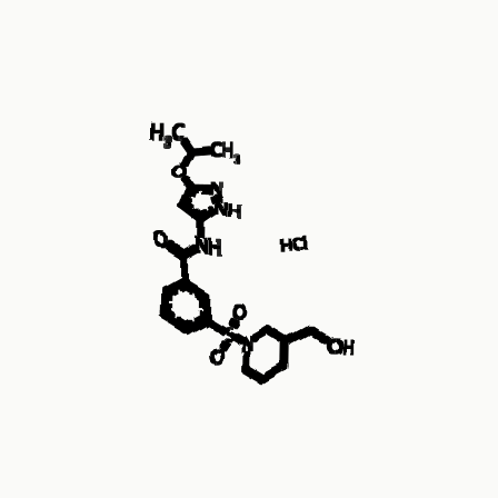 CC(C)Oc1cc(NC(=O)c2cccc(S(=O)(=O)N3CCCC(CO)C3)c2)[nH]n1.Cl